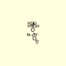 CCOc1ccc2c(C#N)c(-c3ccc(NP(=O)(O)O)cc3)n(CC)c2c1